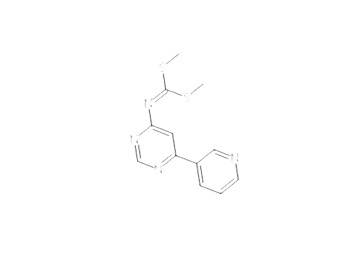 CSC(=Nc1cc(-c2cccnc2)ncn1)SC